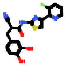 N#CC(Cc1ccc(O)c(O)c1)C(=O)Nc1nc(-c2ncccc2F)cs1